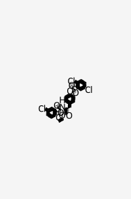 CCOC(=O)[C@H](Cc1ccc(OS(=O)(=O)c2cc(Cl)ccc2Cl)cc1)NS(=O)(=O)c1cc(Cl)ccc1Cl